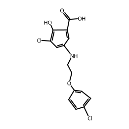 O=C(O)c1cc(NCCOc2ccc(Cl)cc2)cc(Cl)c1O